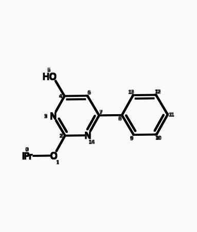 CC(C)Oc1nc(O)cc(-c2ccccc2)n1